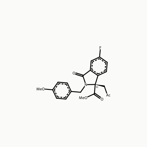 COC(=O)[C@@]1(CC(C)=O)c2ccc(F)cc2C(=O)N1Cc1ccc(OC)cc1